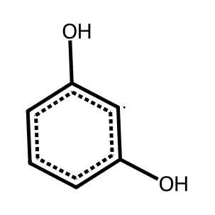 Oc1[c]c(O)ccc1